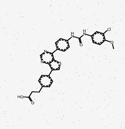 COc1ccc(NC(=O)Nc2ccc(-c3ncnc4c(-c5ccc(CCC(=O)O)cc5)csc34)cc2)cc1Cl